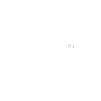 CCNC(C)CCC1(C)CC1